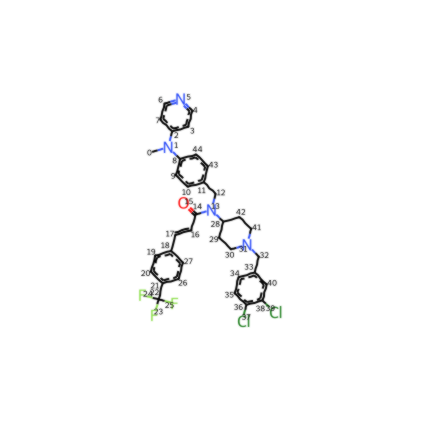 CN(c1ccncc1)c1ccc(CN(C(=O)/C=C/c2ccc(C(F)(F)F)cc2)C2CCN(Cc3ccc(Cl)c(Cl)c3)CC2)cc1